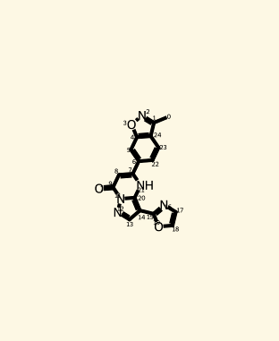 Cc1noc2cc(-c3cc(=O)n4ncc(-c5ncco5)c4[nH]3)ccc12